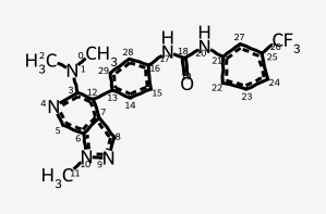 CN(C)c1ncc2c(cnn2C)c1-c1ccc(NC(=O)Nc2cccc(C(F)(F)F)c2)cc1